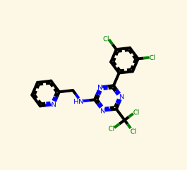 Clc1cc(Cl)cc(-c2nc(NCc3ccccn3)nc(C(Cl)(Cl)Cl)n2)c1